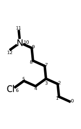 CCCC(CCCl)CCCN(C)C